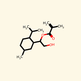 C=C(C)C(=O)OC(CO)C1CC(C)CCC1C(C)C